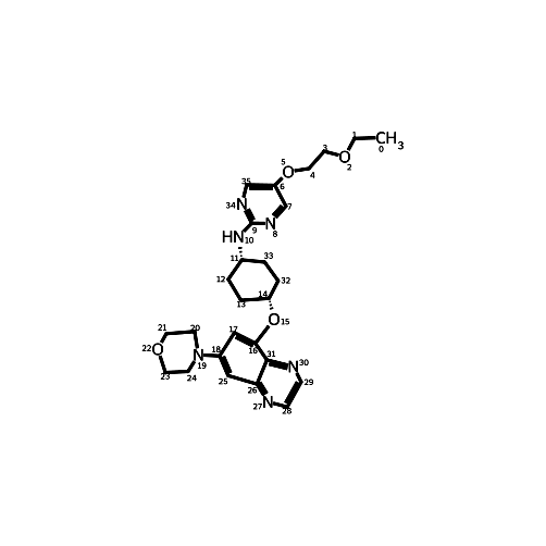 CCOCCOc1cnc(N[C@H]2CC[C@@H](Oc3cc(N4CCOCC4)cc4nccnc34)CC2)nc1